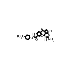 CC(c1ccc(C(=O)NC[C@H]2CC[C@H](C(=O)O)CC2)cc1)c1c[nH]c2nc(N)[nH]c(=O)c12